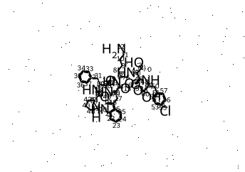 C[C@@H](O)[C@H](NC(=O)[C@H](CCCCN)NC(=O)[C@@H](Cc1c[nH]c2ccccc12)NC(=O)[C@H](Cc1ccccc1)NC(=O)[C@@H]1CCCN1)C(=O)N[C@@H](Cc1ccc(Cl)cc1)C(=O)O